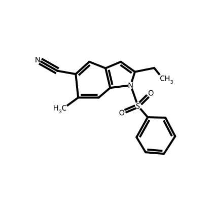 CCc1cc2cc(C#N)c(C)cc2n1S(=O)(=O)c1ccccc1